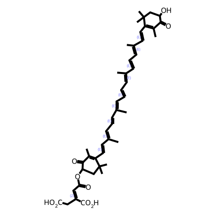 CC1=C(/C=C/C(C)=C/C=C/C(C)=C/C=C/C=C(C)/C=C/C=C(C)/C=C/C2=C(C)C(=O)C(OC(=O)/C=C(/CC(=O)O)C(=O)O)CC2(C)C)C(C)(C)CC(O)C1=O